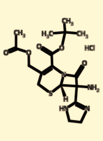 CC(=O)OCC1=C(C(=O)OC(C)(C)C)N2C(=O)C(N)(C3=NCCN3)[C@@H]2SC1.Cl